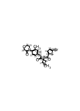 Cc1cc(NC(=O)C2(NC(=O)c3ccc(Br)s3)CN(C)C2)ccc1N1CCOCC1=O